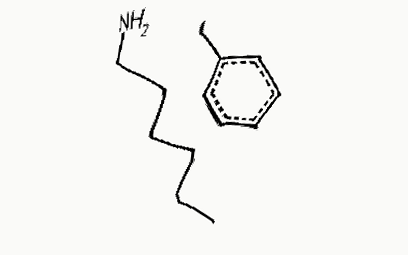 CCCCCCN.Cc1ccccc1